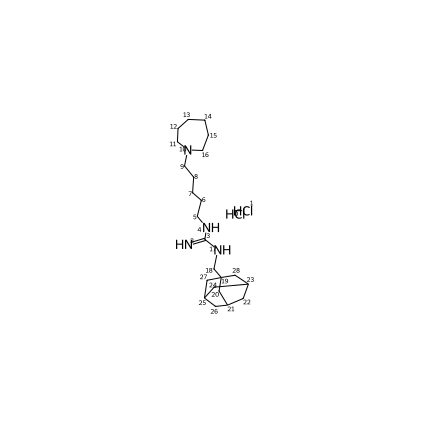 Cl.Cl.N=C(NCCCCCN1CCCCCC1)NCC12CC3CC(CC(C3)C1)C2